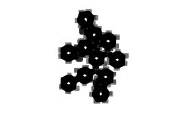 c1ccc(-c2ccc(N(c3ccc4c(c3)N(c3ccccc3)c3ccccc3[Si]4(c3ccc4c(c3)oc3ccccc34)c3ccc4c(c3)oc3ccccc34)c3cccc4c3sc3ccccc34)cc2)cc1